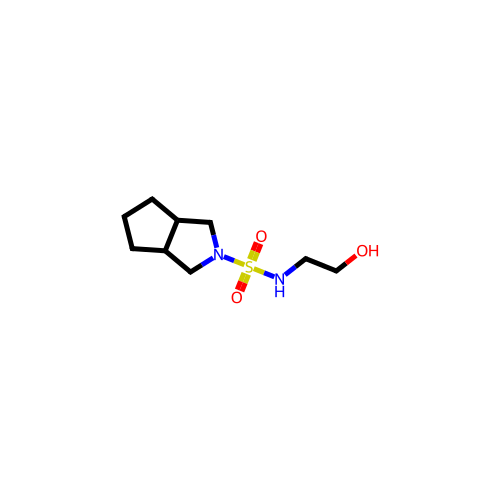 O=S(=O)(NCCO)N1CC2CCCC2C1